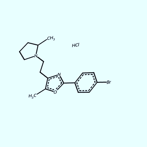 Cc1oc(-c2ccc(Br)cc2)nc1CCN1CCCC1C.Cl